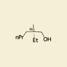 CCCC[C@](C)(CC)CO